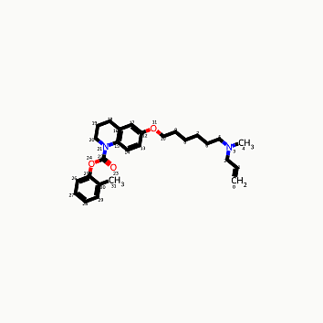 C=CCN(C)CCCCCCOc1ccc2c(c1)CCCN2C(=O)Oc1ccccc1C